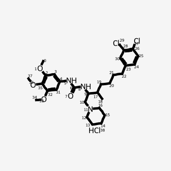 COc1cc(NC(=O)NC(CN2CCCCC2)C(C)CCCCc2ccc(Cl)c(Cl)c2)cc(OC)c1OC.Cl